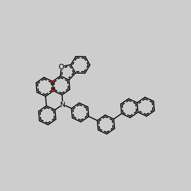 c1ccc(-c2ccccc2N(c2ccc(-c3cccc(-c4ccc5ccccc5c4)c3)cc2)c2ccc3oc4ccccc4c3c2)cc1